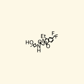 CCc1nn(CC(=O)N[C@H]2C[C@@](C)(O)C2)c(=O)c2ccc(C(F)F)cc12